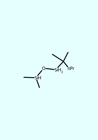 CCCC(C)(C)[SiH2]O[SiH](C)C